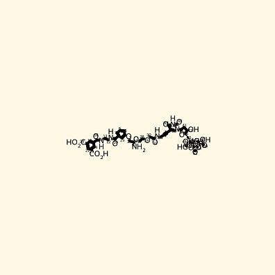 NC(COc1cccc(C(=O)NCCNC(=O)c2cc(C(=O)O)cc(C(=O)O)c2)c1)OCCOCC(=O)NCC#Cc1cn([C@H]2C[C@H](O)[C@@H](COP(=O)(O)OP(=O)(O)OP(=O)(O)O)O2)c(=O)[nH]c1=O